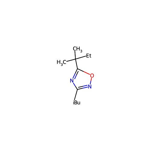 CCC(C)c1noc(C(C)(C)CC)n1